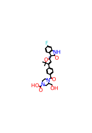 CC1(C)O/C(=C2/C(=O)Nc3cc(F)ccc32)C=C1c1ccc(C(=O)N2CCN(C(=O)O)CC2CO)cc1